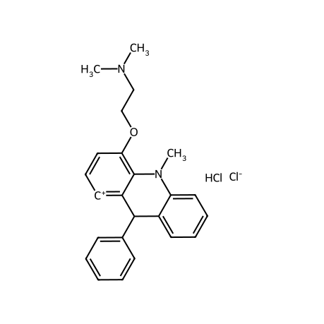 CN(C)CCOC1=C2C(=[C+]C=C1)C(c1ccccc1)c1ccccc1N2C.Cl.[Cl-]